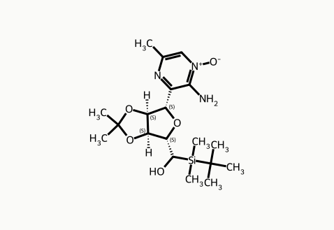 Cc1c[n+]([O-])c(N)c([C@@H]2O[C@H](C(O)[Si](C)(C)C(C)(C)C)[C@H]3OC(C)(C)O[C@H]32)n1